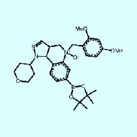 COc1ccc(C[N+]2([O-])CC3C=NN(C4CCOCC4)C3c3ccc(B4OC(C)(C)C(C)(C)O4)cc32)c(OC)c1